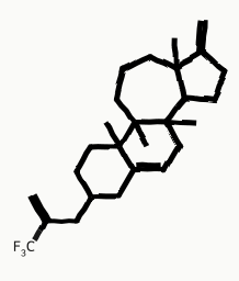 C=C(CC1CCC2(C)C(=CCC3(C)C4CCC(=C)C4(C)CCCC23C)C1)C(F)(F)F